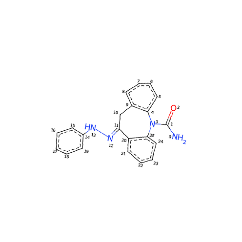 NC(=O)N1c2ccccc2C/C(=N\Nc2ccccc2)c2ccccc21